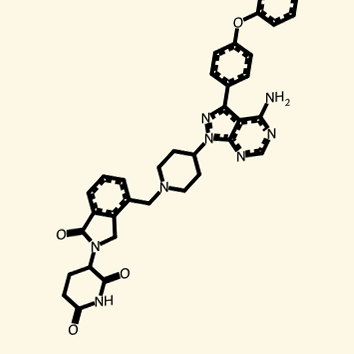 Nc1ncnc2c1c(-c1ccc(Oc3ccccc3)cc1)nn2C1CCN(Cc2cccc3c2CN(C2CCC(=O)NC2=O)C3=O)CC1